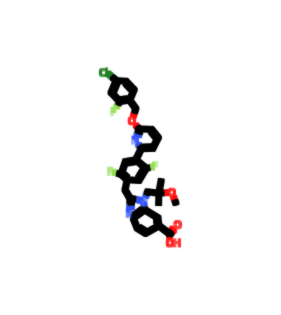 COC(C)(C)Cn1c(Cc2cc(F)c(-c3cccc(OCc4ccc(Cl)cc4F)n3)cc2F)nc2ccc(C(=O)O)cc21